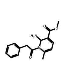 COC(=O)C1=CC=C(C)N(C(=O)Cc2ccccc2)C1N